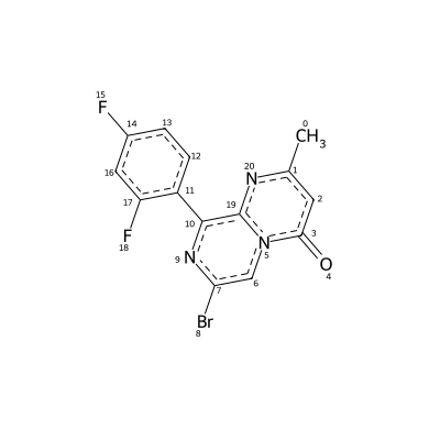 Cc1cc(=O)n2cc(Br)nc(-c3ccc(F)cc3F)c2n1